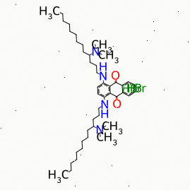 Br.Br.CCCCCCCCCC(CCCNc1ccc(NCCCC(CCCCCCCCC)N(C)C)c2c1C(=O)c1ccccc1C2=O)N(C)C